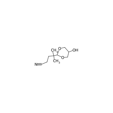 CC(C)(CCC#N)C1OCC(O)CO1